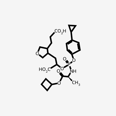 C[C@H](NP(=O)(Oc1ccc(C2CC2)cc1)OC(CC1COCC1CCC(=O)O)C(=O)O)C(=O)OC1CCC1